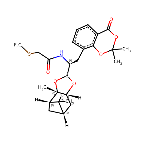 CC1(C)OC(=O)c2cccc(C[C@H](NC(=O)CSC(F)(F)F)B3O[C@@H]4C[C@@H]5C[C@@H](C5(C)C)[C@]4(C)O3)c2O1